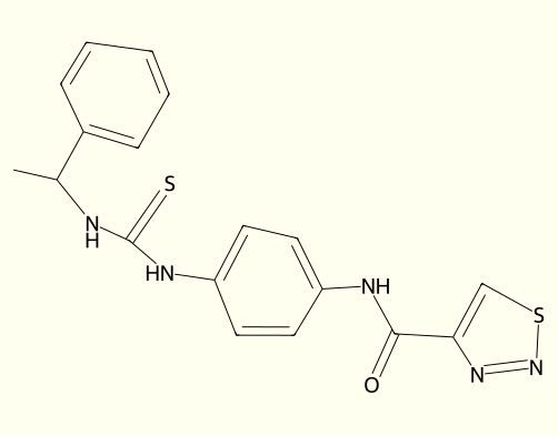 CC(NC(=S)Nc1ccc(NC(=O)c2csnn2)cc1)c1ccccc1